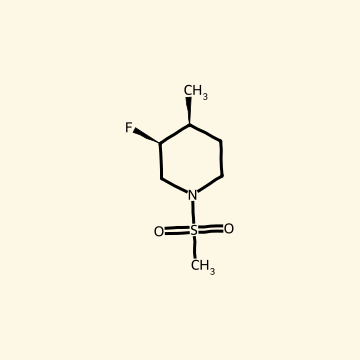 C[C@H]1CCN(S(C)(=O)=O)C[C@H]1F